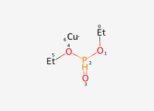 CCO[PH](=O)OCC.[Cu]